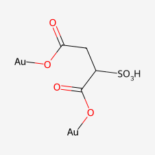 O=C(CC(C(=O)[O][Au])S(=O)(=O)O)[O][Au]